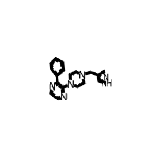 c1ccc(-c2nccnc2N2CCN(Cc3cn[nH]c3)CC2)cc1